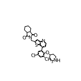 Cc1cc(Cl)cc(-c2ccnc3cc(CN4C(=O)C5CCCCC5C4=O)sc23)c1OC1CCNCC1